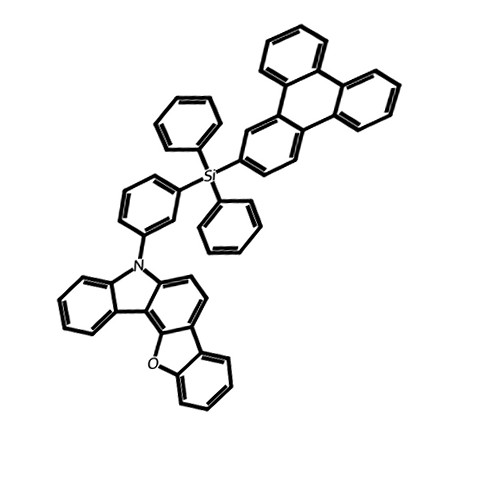 c1ccc([Si](c2ccccc2)(c2cccc(-n3c4ccccc4c4c5oc6ccccc6c5ccc43)c2)c2ccc3c4ccccc4c4ccccc4c3c2)cc1